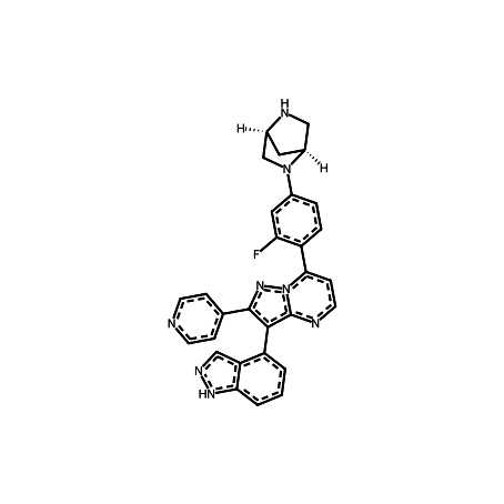 Fc1cc(N2C[C@@H]3C[C@H]2CN3)ccc1-c1ccnc2c(-c3cccc4[nH]ncc34)c(-c3ccncc3)nn12